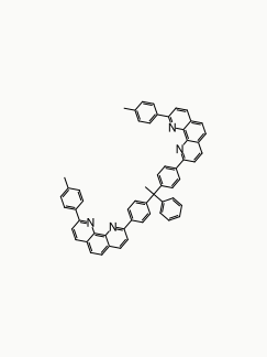 Cc1ccc(-c2ccc3ccc4ccc(-c5ccc(C(C)(c6ccccc6)c6ccc(-c7ccc8ccc9ccc(-c%10ccc(C)cc%10)nc9c8n7)cc6)cc5)nc4c3n2)cc1